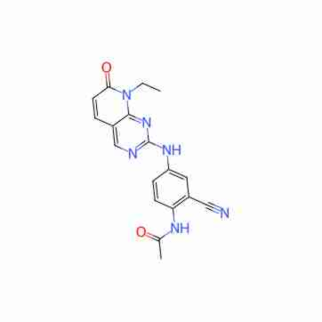 CCn1c(=O)ccc2cnc(Nc3ccc(NC(C)=O)c(C#N)c3)nc21